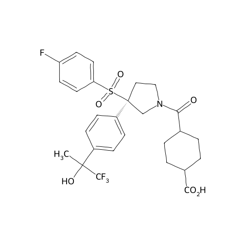 CC(O)(c1ccc([C@]2(S(=O)(=O)c3ccc(F)cc3)CCN(C(=O)C3CCC(C(=O)O)CC3)C2)cc1)C(F)(F)F